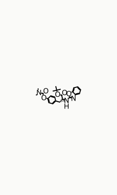 CN(C)C(=O)Oc1ccc(C[C@H](Nc2nc3ccccc3o2)C(=O)OC(C)(C)C)cc1